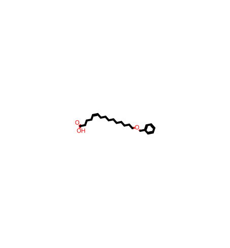 O=C(O)CCC/C=C\CCCCCCCCCOCc1ccccc1